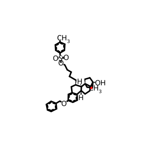 Cc1ccc(S(=O)(=O)OCCCCC[C@@H]2Cc3cc(OCc4ccccc4)ccc3[C@H]3CC[C@]4(C)[C@]5(O)CC[C@@]4(CC5)[C@H]23)cc1